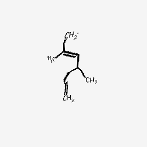 [CH2]C(C)=CC(C)C=C